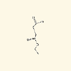 CCOC(=O)CCC(=O)Br